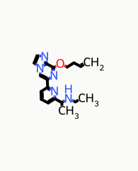 C=CCCOc1nc(-c2cccc(C(C)NCC)n2)cn2ccnc12